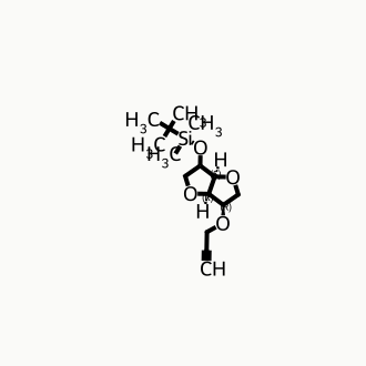 C#CCO[C@@H]1CO[C@@H]2C(O[Si](C)(C)C(C)(C)C)CO[C@@H]21